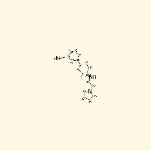 N#Cc1cccc(C2CCC(NCCN3CCCC3)CC2)c1